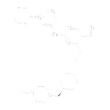 Cc1nsc2nc(N/C(C=N)=C/NC3CCCCC3)nc(CCC[C@H]3CC[C@H](CN4CCN(C(C)C)CC4)CC3)c12